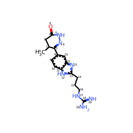 CC1CC(=O)NN=C1c1ccc2[nH]c(CCCNC(=N)N)nc2c1